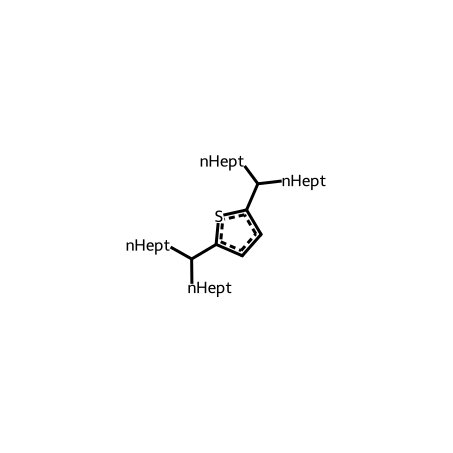 CCCCCCCC(CCCCCCC)c1ccc(C(CCCCCCC)CCCCCCC)s1